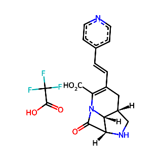 O=C(O)C(F)(F)F.O=C(O)C1=C(/C=C/c2ccncc2)C[C@@H]2CN[C@@H]3C(=O)N1[C@H]23